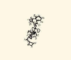 O=C(O[C@H]1C[N+]2(CC3CCC3)CCC1CC2)N(Cc1cccc(F)c1)c1ccsc1